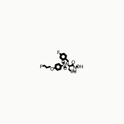 CC(C)C[C@H](C(=O)NO)N(Cc1ccc(F)cc1)S(=O)(=O)c1ccc(OCCCF)cc1